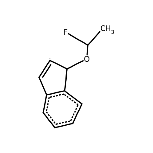 CC(F)OC1[C]=Cc2ccccc21